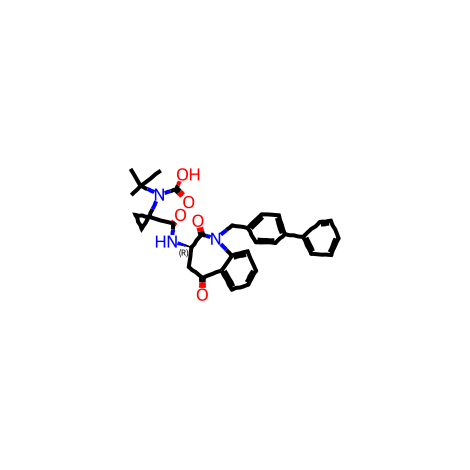 CC(C)(C)N(C(=O)O)C1(C(=O)N[C@@H]2CC(=O)c3ccccc3N(Cc3ccc(-c4ccccc4)cc3)C2=O)CC1